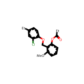 CCC(=O)Oc1cccc(OC)c1COc1ccc(CC)cc1Cl